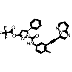 O=C(Nc1ccc(F)c(C#Cc2cnc3cccnn23)c1)N1N=C(OC(=O)C(F)(F)F)C[C@@H]1c1ccccc1